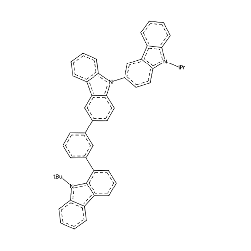 CC(C)n1c2ccccc2c2cc(-n3c4ccccc4c4cc(-c5cccc(-c6cccc7c8ccccc8n(C(C)(C)C)c67)c5)ccc43)ccc21